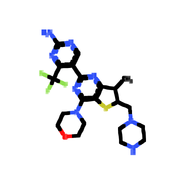 CC1c2nc(-c3cnc(N)nc3C(F)(F)F)nc(N3CCOCC3)c2SC1CN1CCNCC1